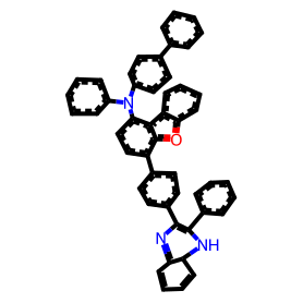 C1=CC2=NC(c3ccc(-c4ccc(N(c5ccccc5)c5ccc(-c6ccccc6)cc5)c5c4oc4ccccc45)cc3)=C(c3ccccc3)NC2C=C1